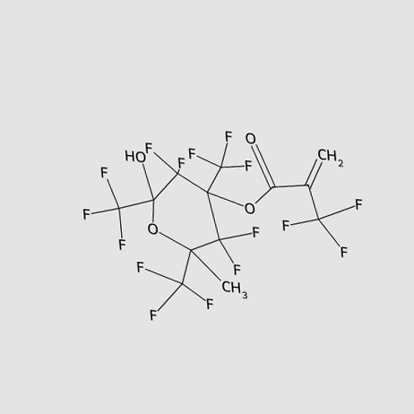 C=C(C(=O)OC1(C(F)(F)F)C(F)(F)C(C)(C(F)(F)F)OC(O)(C(F)(F)F)C1(F)F)C(F)(F)F